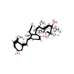 C=C1CC[C@@H](O)C/C1=C/C=C1\CCC[C@]2(C)[C@@H]([C@H](C)/C=C/[C@@](C)(O)C(C)(C)O)CC[C@@H]12